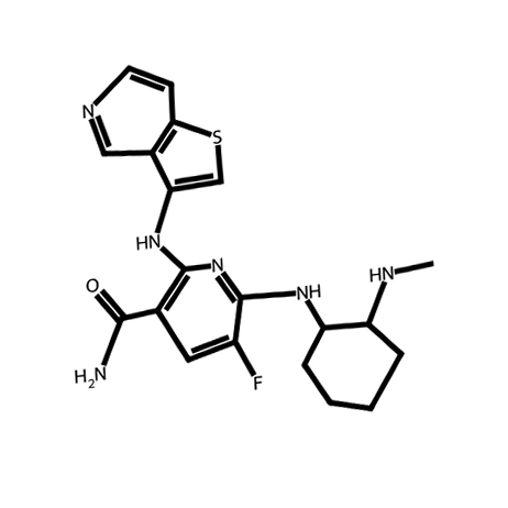 CNC1CCCCC1Nc1nc(Nc2csc3ccncc23)c(C(N)=O)cc1F